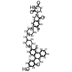 O=C1CCC(N2Cc3cc(N4CCN(CC5CCN(c6ccc(C7c8ccc(O)cc8OCC7c7ccccc7)cc6F)CC5)CC4)c(F)cc3C2=O)C(=O)N1